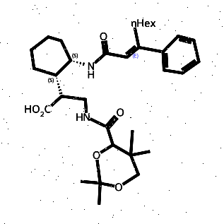 CCCCCC/C(=C\C(=O)N[C@H]1CCCC[C@H]1C(CNC(=O)C1OC(C)(C)OCC1(C)C)C(=O)O)c1ccccc1